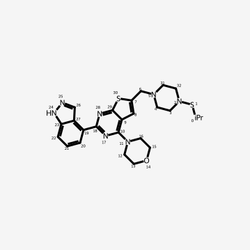 CC(C)SN1CCN(Cc2cc3c(N4CCOCC4)nc(-c4cccc5[nH]ncc45)nc3s2)CC1